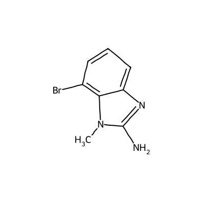 Cn1c(N)nc2cccc(Br)c21